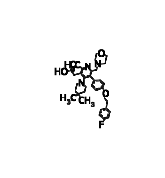 Cc1nc(CN2CCOCC2)c(-c2ccc(OCCc3ccc(F)cc3)cc2)c(N2CCC(C)(C)CC2)c1CC(=O)O